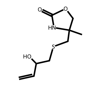 C=CC(O)CSCC1(C)COC(=O)N1